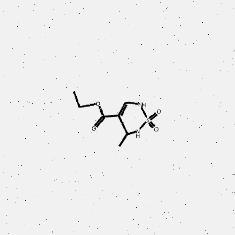 CCOC(=O)C1=CNS(=O)(=O)NC1C